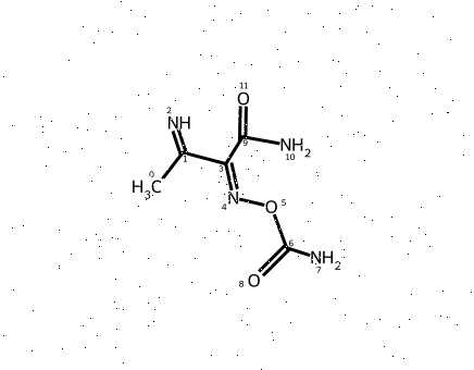 CC(=N)C(=NOC(N)=O)C(N)=O